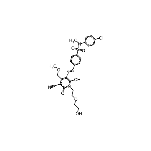 COCc1c(/N=N/c2ccc(S(=O)(=O)N(C)c3ccc(Cl)cc3)cc2)c(O)n(CCOCCO)c(=O)c1C#N